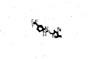 Cc1cnc(CSc2nc3cc(C(F)(F)F)ccc3[nH]2)c(C)c1N(C)C